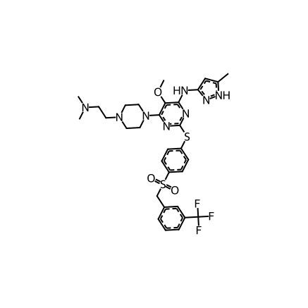 COc1c(Nc2cc(C)[nH]n2)nc(Sc2ccc(S(=O)(=O)Cc3cccc(C(F)(F)F)c3)cc2)nc1N1CCN(CCN(C)C)CC1